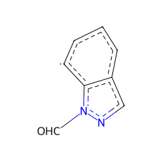 O=Cn1ncc2ccc[c]c21